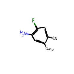 COc1cc(N)c(F)cc1C#N